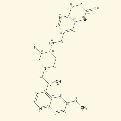 COc1ccc2nccc([C@@H](O)CN3CC[C@@H](NCc4cnc5c(c4)NC(=O)CS5)[C@@H](F)C3)c2c1